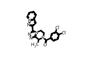 CC1c2nnc(-c3cc4ccccn4n3)n2CCN1C(=O)c1ccc(Cl)c(Cl)c1